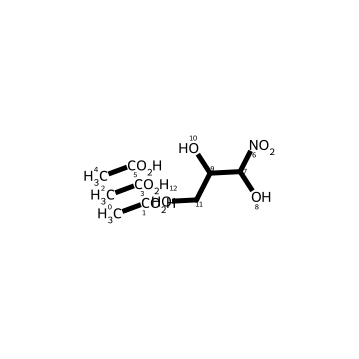 CC(=O)O.CC(=O)O.CC(=O)O.O=[N+]([O-])C(O)C(O)CO